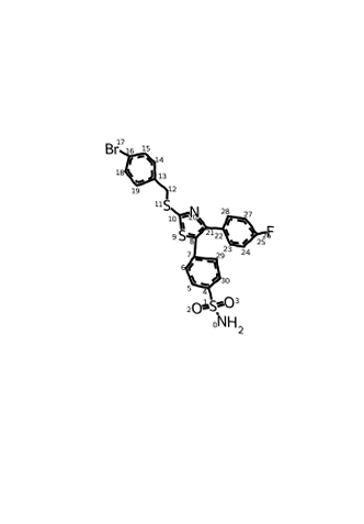 NS(=O)(=O)c1ccc(-c2sc(SCc3ccc(Br)cc3)nc2-c2ccc(F)cc2)cc1